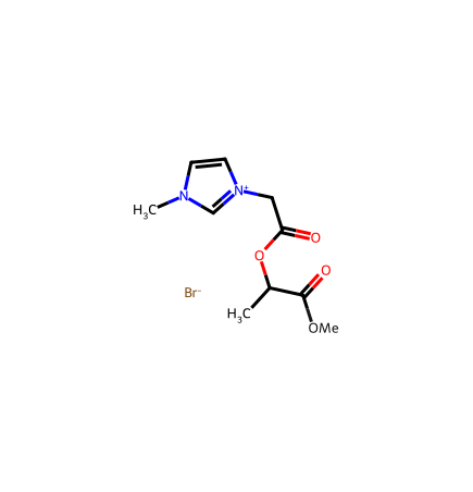 COC(=O)C(C)OC(=O)C[n+]1ccn(C)c1.[Br-]